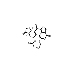 CC(=O)O[C@@H]1C[C@]2(C)C(=O)CC[C@H]2C2=C1[C@]1(C)c3c(coc3C2=O)C(=O)O[C@@H]1CCO